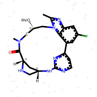 CO[C@H]1CN(C)C(=O)[C@@H]2C[C@@H](CN2)Nc2nccc(n2)-c2cc(F)cc3nc(C)n(c23)C1